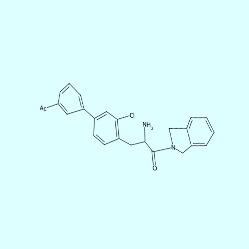 CC(=O)c1cccc(-c2ccc(CC(N)C(=O)N3Cc4ccccc4C3)c(Cl)c2)c1